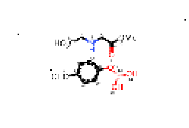 COC(=O)CNCC(=O)O.O=Cc1ccc(OB(O)O)cc1